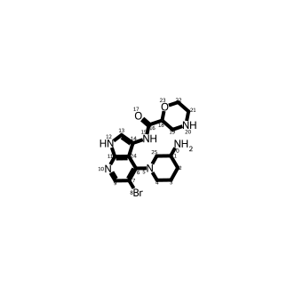 NC1CCCN(c2c(Br)cnc3[nH]cc(NC(=O)C4CNCCO4)c23)C1